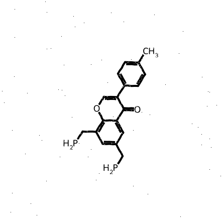 Cc1ccc(-c2coc3c(CP)cc(CP)cc3c2=O)cc1